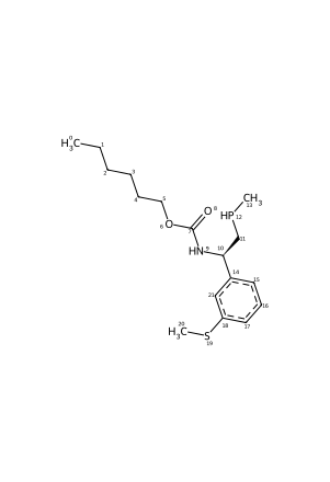 CCCCCCOC(=O)N[C@@H](CPC)c1cccc(SC)c1